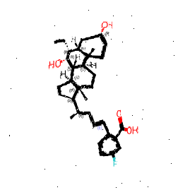 CC[C@H]1[C@@H](O)[C@@H]2[C@H](CC[C@]3(C)[C@@H]([C@H](C)C/C=C/c4ccc(F)cc4C(=O)O)CC[C@@H]23)[C@@]2(C)CC[C@@H](O)C[C@@H]12